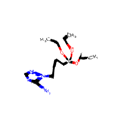 CCO[Si](CCCn1ncnc1N)(OCC)OCC